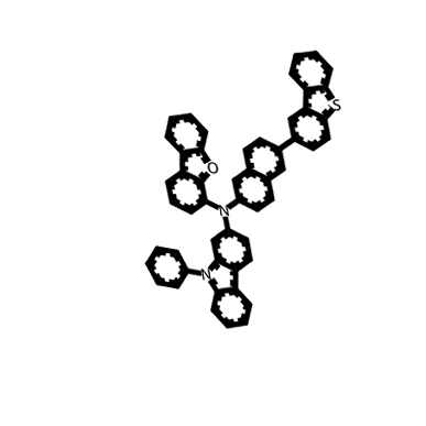 c1ccc(-n2c3ccccc3c3ccc(N(c4ccc5cc(-c6ccc7sc8ccccc8c7c6)ccc5c4)c4cccc5c4oc4ccccc45)cc32)cc1